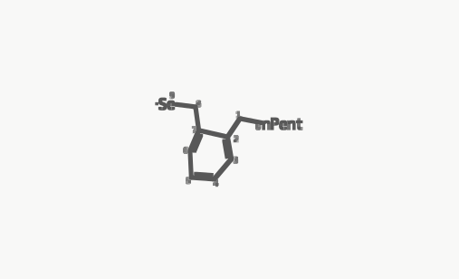 CCCCCCc1ccccc1C[Se]